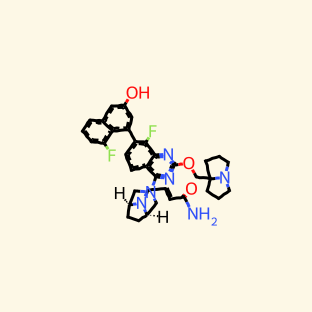 NC(=O)/C=C/CN1[C@@H]2CC[C@H]1CN(c1nc(OCC34CCCN3CCC4)nc3c(F)c(-c4cc(O)cc5cccc(F)c45)ccc13)C2